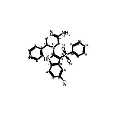 CC(c1ccncc1)N(CC(N)=O)c1[nH]c2ccc(Cl)cc2c1S(=O)(=O)c1ccccc1